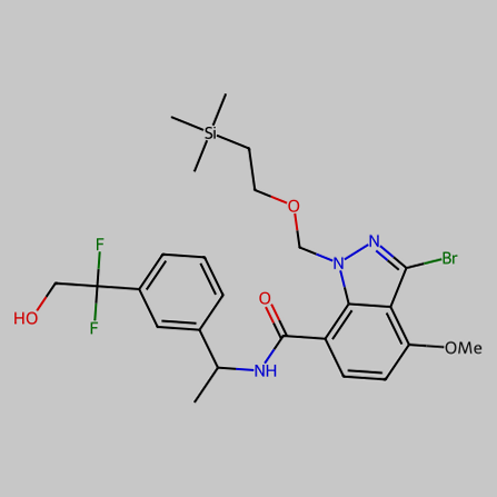 COc1ccc(C(=O)NC(C)c2cccc(C(F)(F)CO)c2)c2c1c(Br)nn2COCC[Si](C)(C)C